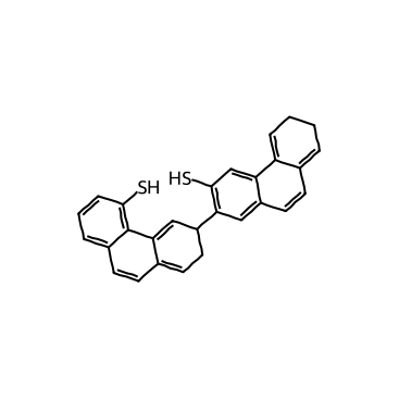 Sc1cc2c3c(ccc2cc1C1C=c2c(ccc4cccc(S)c24)=CC1)=CCCC=3